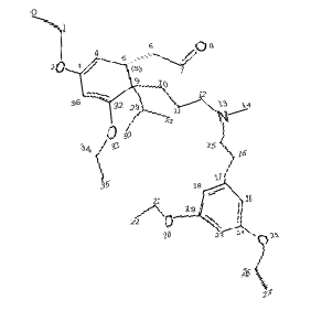 CCOC1=C[C@H](CC=O)C(CCCN(C)CCc2cc(OCC)cc(OCC)c2)(C(C)C)C(OCC)=C1